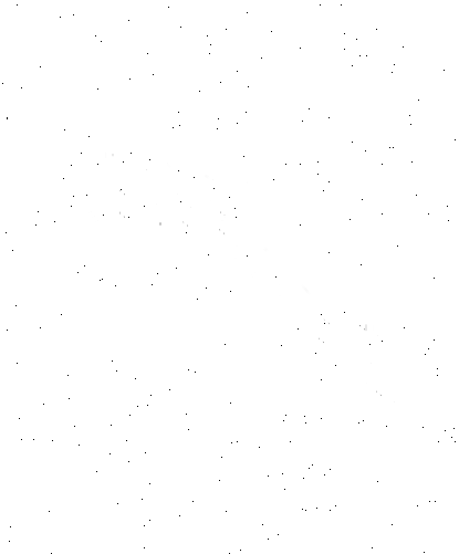 Nc1ccc(N=Nc2ccc(-c3ccc(N=Nc4c(S(=O)(=O)O)cc5cc(S(=O)(=O)O)c(N=Nc6ccccc6)c(O)c5c4N)cc3)cc2)c(N)c1